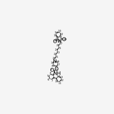 O=C(Nc1ccccc1-c1ccccc1)OC1CCN(CCCCCCCCN2C(=O)c3ccccc3C2=O)CC1